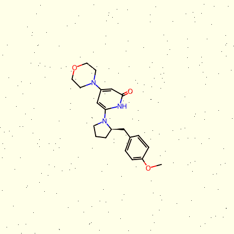 COc1ccc(C[C@H]2CCCN2c2cc(N3CCOCC3)cc(=O)[nH]2)cc1